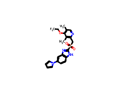 Cc1cnc(CS(=O)(=O)c2nc3cc(-n4cccc4)ccc3[nH]2)c(C)c1OCC(F)(F)F